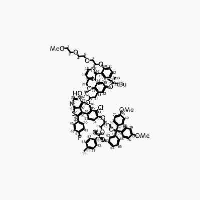 COCCOCCOCCOc1ccccc1-c1nccc(COc2ccc(O[Si](C)(C)C(C)(C)C)cc2C[C@@H](Oc2ncnc3sc(-c4ccc(F)cc4)c(-c4ccc(O[C@H](COC(c5ccccc5)(c5ccc(OC)cc5)c5ccc(OC)cc5)COS(=O)(=O)c5ccc(C)cc5)c(Cl)c4C)c23)C(=O)O)n1